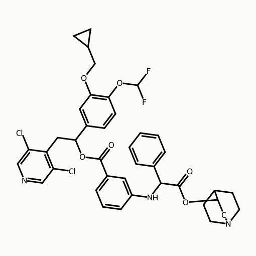 O=C(OC(Cc1c(Cl)cncc1Cl)c1ccc(OC(F)F)c(OCC2CC2)c1)c1cccc(NC(C(=O)OC2CN3CCC2CC3)c2ccccc2)c1